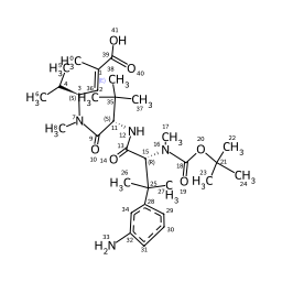 C/C(=C\[C@H](C(C)C)N(C)C(=O)[C@@H](NC(=O)[C@H](N(C)C(=O)OC(C)(C)C)C(C)(C)c1cccc(N)c1)C(C)(C)C)C(=O)O